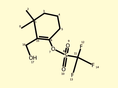 CC1(C)CCCC(OS(=O)(=O)C(F)(F)F)=C1CO